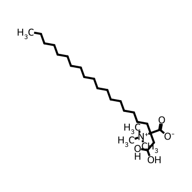 CCCCCCCCCCCCCCCCCCC(CC(O)O)(C(=O)[O-])[N+](C)(C)C